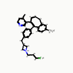 Cc1ccncc1C1=C(c2ccc(CC3CN(CCCF)C3)cc2)c2ccc(C(=O)O)cc2CCC1